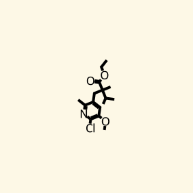 CCOC(=O)C(C)(Cc1cc(OC)c(Cl)nc1C)C(C)C